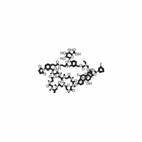 C=C(CN(C)C(=O)CN(C)C(=O)CN(C)C(=O)CN(C)C(=O)CN(C)C(=O)CN(C)C(=O)CN(C)C(=O)CN(C)C(=O)c1cc(N2C(=O)C=CC2=O)ccc1CCC(=O)NCCC(=O)Nc1cc(COC(=O)N(CC)COCC(=O)[C@@]23O[C@H](c4cccc(F)c4)O[C@@H]2C[C@H]2[C@@H]4C[C@H](F)C5=CC(=O)C=C[C@]5(C)[C@@]4(F)[C@@H](O)C[C@@]23C)ccc1O[C@@H]1O[C@H](C(=O)O)[C@@H](O)[C@H](O)[C@H]1O)N(C)CC(=O)N(C)CC(=O)O